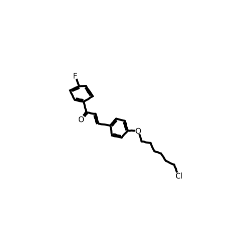 O=C(/C=C/c1ccc(OCCCCCCCl)cc1)c1ccc(F)cc1